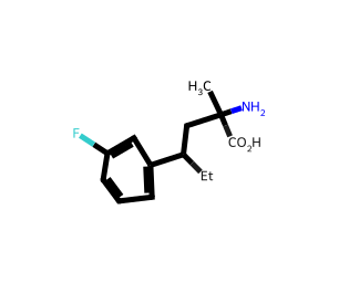 CCC(CC(C)(N)C(=O)O)c1cccc(F)c1